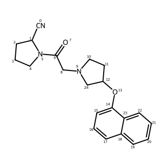 N#CC1CCCN1C(=O)CN1CCC(Oc2cccc3ccccc23)C1